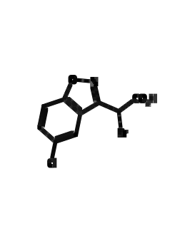 O=C(O)C(Br)c1noc2ccc(Cl)cc12